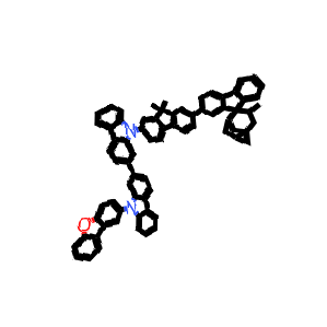 CC1CC23CC2CC(C3)C12c1ccccc1-c1ccc(-c3ccc4c(c3)C(C)(C)c3cc(-n5c6ccccc6c6ccc(-c7ccc8c9ccccc9n(-c9ccc%10oc%11ccccc%11c%10c9)c8c7)cc65)ccc3-4)cc12